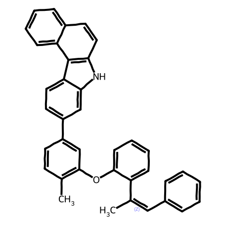 C/C(=C/c1ccccc1)c1ccccc1Oc1cc(-c2ccc3c(c2)[nH]c2ccc4ccccc4c23)ccc1C